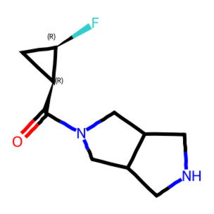 O=C([C@H]1C[C@H]1F)N1CC2CNCC2C1